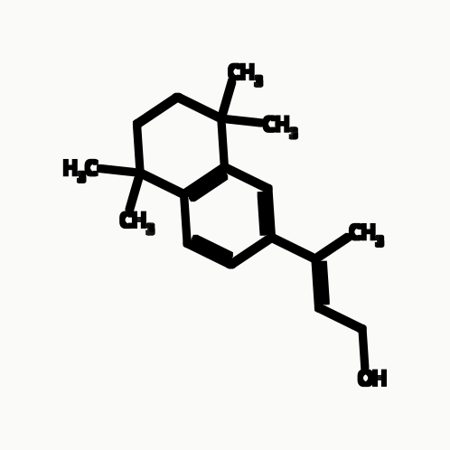 C/C(=C\CO)c1ccc2c(c1)C(C)(C)CCC2(C)C